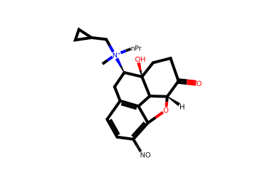 CCC[N+](C)(CC1CC1)[C@@H]1Cc2ccc(N=O)c3c2C2[C@@H](O3)C(=O)CC[C@]21O